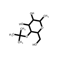 CC1OC(CO)C(OC(C)(C)C)C(O)C1O